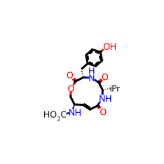 CC(C)[C@@H]1NC(=O)/C=C/[C@@H](NC(=O)O)COC(=O)[C@H](Cc2ccc(O)cc2)NC1=O